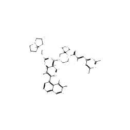 Cc1cc(/C=C(\F)C(=O)N2CCN(c3nc(OC[C@@]45CCCN4C[C@H](F)C5)nc4c(F)c(-c5cccc6ccc(F)c(F)c56)ncc34)CC23COC3)nc(C)n1